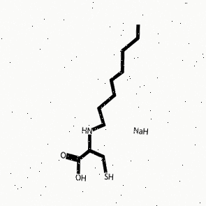 CCCCCCCCNC(CS)C(=O)O.[NaH]